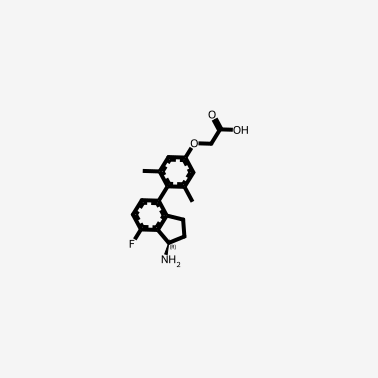 Cc1cc(OCC(=O)O)cc(C)c1-c1ccc(F)c2c1CC[C@H]2N